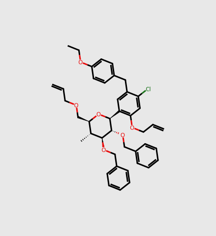 C=CCOC[C@H]1O[C@@H](c2cc(Cc3ccc(OCC)cc3)c(Cl)cc2OCC=C)[C@H](OCc2ccccc2)[C@@H](OCc2ccccc2)[C@@H]1C